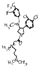 CN(C)CCCN(C)CC(=O)N1CC(c2ccc(Cl)c(Cl)c2)C(N(C)Cc2ccc(C(F)(F)F)c(F)c2)C1